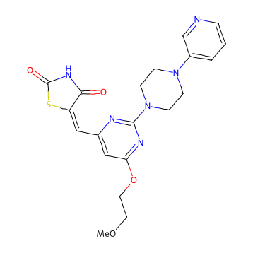 COCCOc1cc(/C=C2/SC(=O)NC2=O)nc(N2CCN(c3cccnc3)CC2)n1